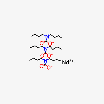 CCCCN(CCCC)C(=O)[O-].CCCCN(CCCC)C(=O)[O-].CCCCN(CCCC)C(=O)[O-].[Nd+3]